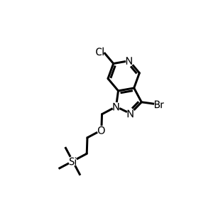 C[Si](C)(C)CCOCn1nc(Br)c2cnc(Cl)cc21